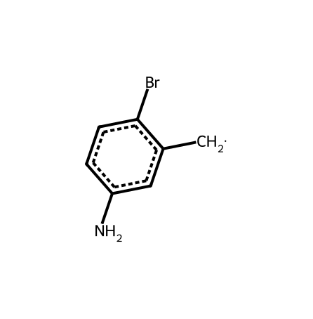 [CH2]c1cc(N)ccc1Br